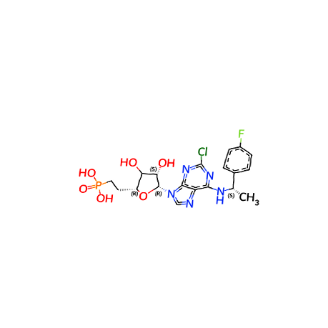 C[C@H](Nc1nc(Cl)nc2c1ncn2[C@@H]1O[C@H](CCP(=O)(O)O)C(O)[C@@H]1O)c1ccc(F)cc1